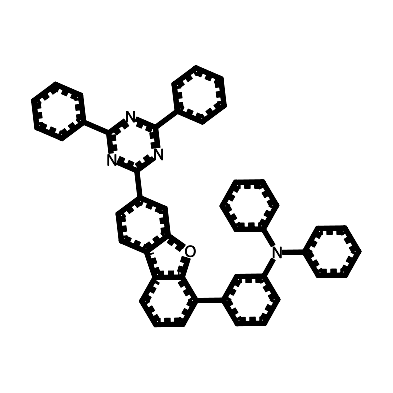 c1ccc(-c2nc(-c3ccccc3)nc(-c3ccc4c(c3)oc3c(-c5cccc(N(c6ccccc6)c6ccccc6)c5)cccc34)n2)cc1